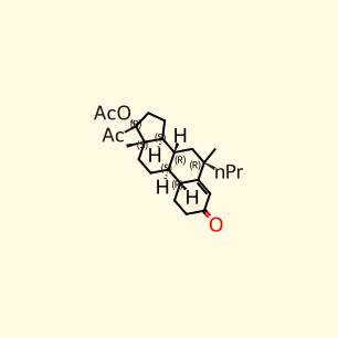 CCC[C@]1(C)C[C@@H]2[C@H](CC[C@@]3(C)[C@H]2CC[C@]3(OC(C)=O)C(C)=O)[C@H]2CCC(=O)C=C21